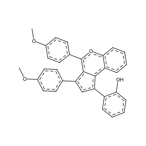 COc1ccc(-c2cc(-c3ccccc3O)c3c4ccccc4oc(-c4ccc(OC)cc4)c2-3)cc1